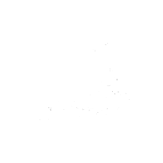 C[C@H]1CCCN1CCCOc1cnc2c(c1)cc(C(=O)N1CCC(F)(F)CC1)n2S(C)(=O)=O